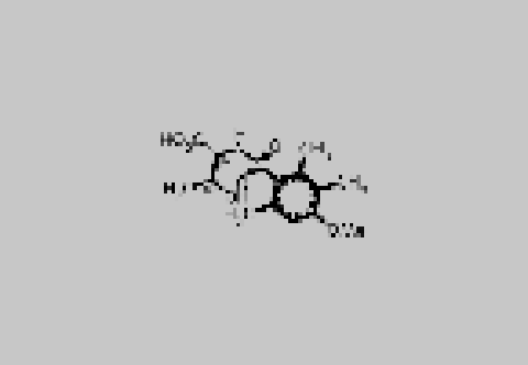 COc1cc(C)c(S(=O)(=O)N[C@@H](C(=O)O)[C@H](C)O)c(C)c1C